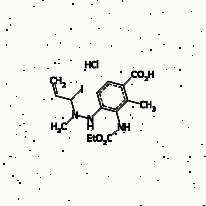 C=CC(I)N(C)Nc1ccc(C(=O)O)c(C)c1NC(=O)OCC.Cl